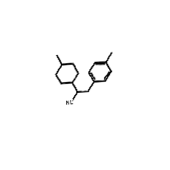 Cc1ccc(CC(C#N)C2CCC(C)CC2)cc1